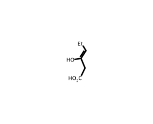 CCC=C(O)CC(=O)O